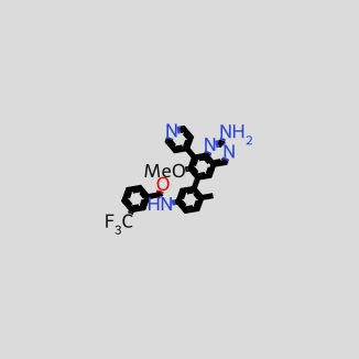 COc1c(-c2cc(NC(=O)c3cccc(C(F)(F)F)c3)ccc2C)cc2cnc(N)nc2c1-c1ccncc1